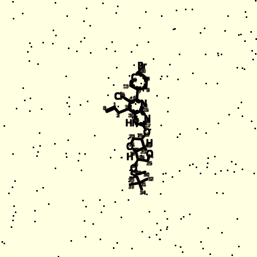 C=CCc1c(Cl)c(-c2ccc(Br)cc2)nc2nc(O[C@@H]3CO[C@H]4[C@@H]3OC[C@H]4O[Si](C)(C)C(C)(C)C)[nH]c12